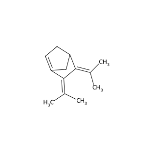 CC(C)=C1C2=CCC(C2)C1=C(C)C